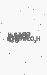 CN(C(=O)C1CCOCC1)c1cc2oc(=O)c(C(=O)O)cc2s1